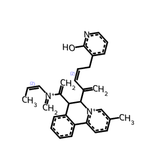 C=C(/C=C\Cc1cccnc1O)C1C(C(=C)[N+](=C)/C=C\C)c2ccccc2-c2ccc(C)c[n+]21